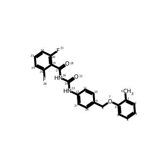 Cc1ccccc1OCc1ccc(NC(=O)NC(=O)c2c(F)cccc2F)cc1